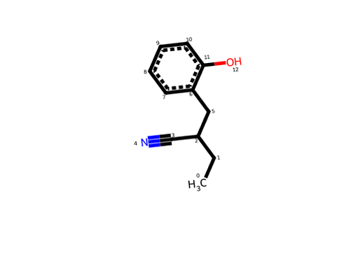 CCC(C#N)Cc1ccccc1O